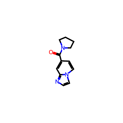 O=C(c1ccn2ccnc2c1)N1CCCC1